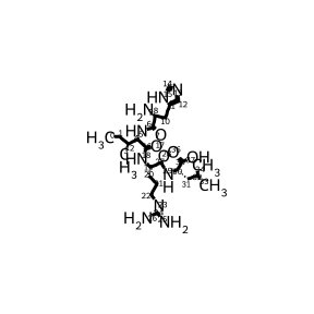 CC[C@H](C)[C@H](NC(=O)[C@@H](N)Cc1cnc[nH]1)C(=O)N[C@@H](CCCN=C(N)N)C(=O)N[C@@H](CC(C)C)C(=O)O